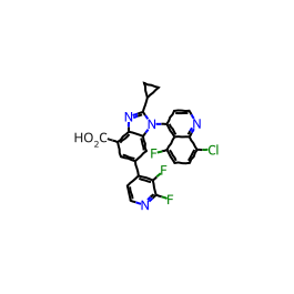 O=C(O)c1cc(-c2ccnc(F)c2F)cc2c1nc(C1CC1)n2-c1ccnc2c(Cl)ccc(F)c12